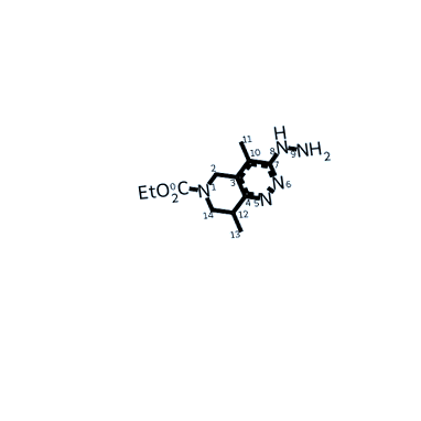 CCOC(=O)N1Cc2c(nnc(NN)c2C)C(C)C1